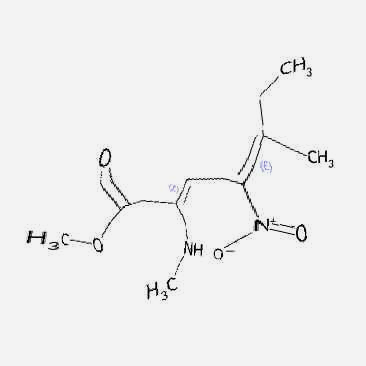 CC/C(C)=C(\C=C(/NC)C(=O)OC)[N+](=O)[O-]